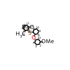 COc1cccc(Oc2cccc(OC)c2Sc2ccccc2C)c1